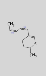 C/C=C\C=C/C1=CSC(C)CC1